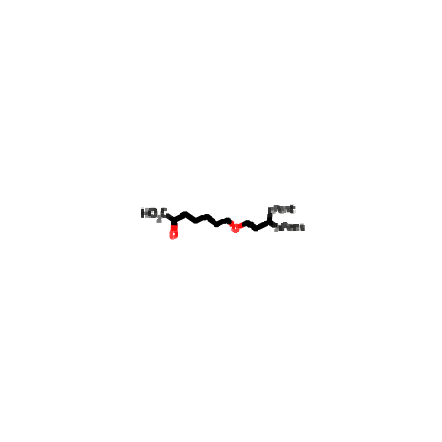 CCCCCC(CCCCC)CCOCCCCCC(=O)C(=O)O